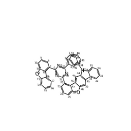 c1ccc(-c2nc(-c3cccc4oc5ccccc5c34)nc(-c3cccc4oc5cc6c7ccccc7n(-c7ccccc7)c6cc5c34)n2)cc1